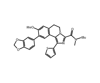 COc1cc2c(cc1-c1ccc3c(c1)OCO3)-c1c(-c3cccs3)nc(C(=O)N(C)C(C)(C)C)n1CC2